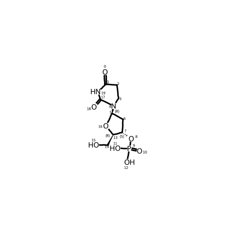 O=C1CCN([C@H]2C[C@H](OP(=O)(O)O)[C@@H](CO)O2)C(=O)N1